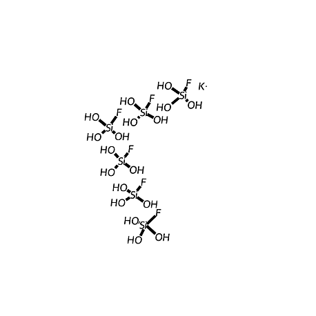 O[Si](O)(O)F.O[Si](O)(O)F.O[Si](O)(O)F.O[Si](O)(O)F.O[Si](O)(O)F.O[Si](O)(O)F.[K]